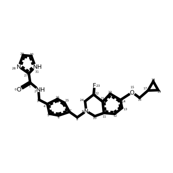 O=C(NCc1ccc(CN2Cc3ccc(OCC4CC4)cc3C(F)C2)cc1)c1ncc[nH]1